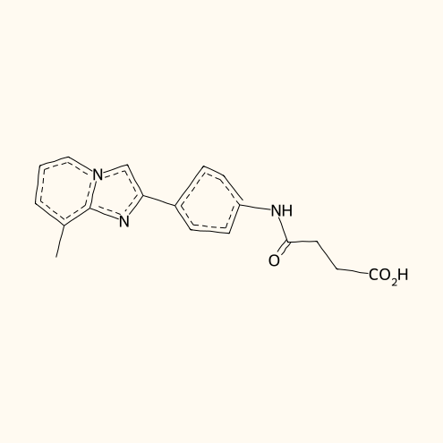 Cc1cccn2cc(-c3ccc(NC(=O)CCC(=O)O)cc3)nc12